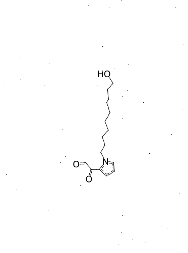 O=CC(=O)c1cccn1CCCCCCCCCCO